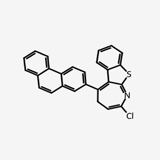 ClC1=CCC(c2ccc3c(ccc4ccccc43)c2)=c2c(sc3ccccc23)=N1